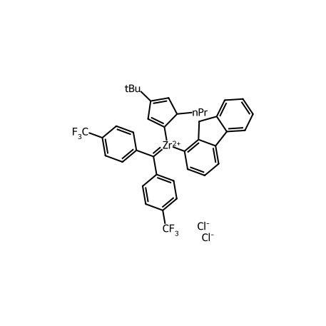 CCCC1C=C(C(C)(C)C)C=[C]1[Zr+2](=[C](c1ccc(C(F)(F)F)cc1)c1ccc(C(F)(F)F)cc1)[c]1cccc2c1Cc1ccccc1-2.[Cl-].[Cl-]